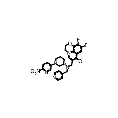 O=c1c(CN(Cc2ccncc2)[C@H]2CCCN(c3ccc([N+](=O)[O-])nc3)C2)cn2c3c(c(F)c(F)cc13)OCC2